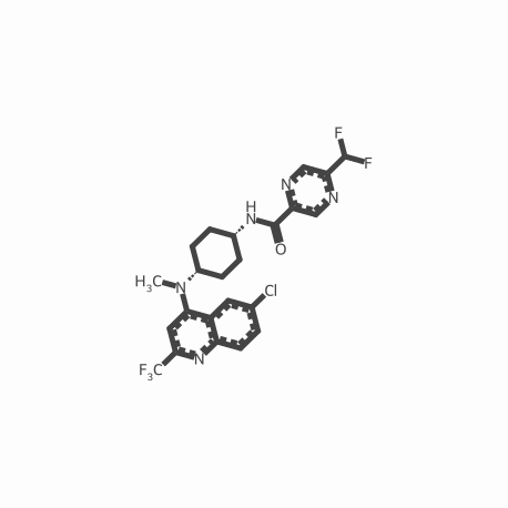 CN(c1cc(C(F)(F)F)nc2ccc(Cl)cc12)[C@H]1CC[C@@H](NC(=O)c2cnc(C(F)F)cn2)CC1